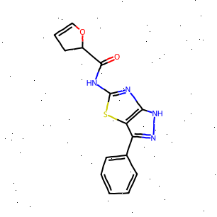 O=C(Nc1nc2[nH]nc(-c3ccccc3)c2s1)C1CC=CO1